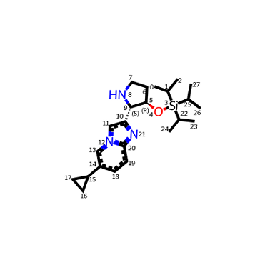 CC(C)[Si](O[C@@H]1CCN[C@H]1c1cn2cc(C3CC3)ccc2n1)(C(C)C)C(C)C